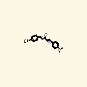 CCc1ccc(/C=C/C(=O)/C=C/c2ccc(N(C)C)cc2)cc1